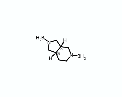 BN1CC[C@@H]2CN(B)C[C@@H]2C1